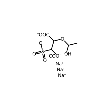 CC(O)OC(C(=O)[O-])C(C(=O)[O-])S(=O)(=O)[O-].[Na+].[Na+].[Na+]